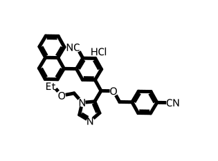 CCOCn1cncc1C(OCc1ccc(C#N)cc1)c1ccc(C#N)c(-c2cccc3ccccc23)c1.Cl